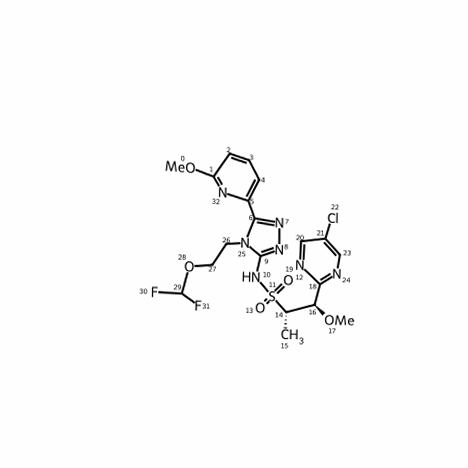 COc1cccc(-c2nnc(NS(=O)(=O)[C@@H](C)[C@H](OC)c3ncc(Cl)cn3)n2CCOC(F)F)n1